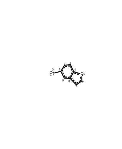 CCc1ccc2sc[c]c2c1